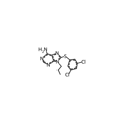 C[CH]Cn1c(Sc2cc(Cl)cc(Cl)c2)nc2c(N)ncnc21